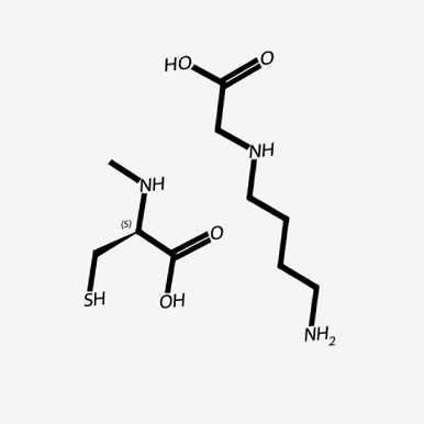 CN[C@H](CS)C(=O)O.NCCCCNCC(=O)O